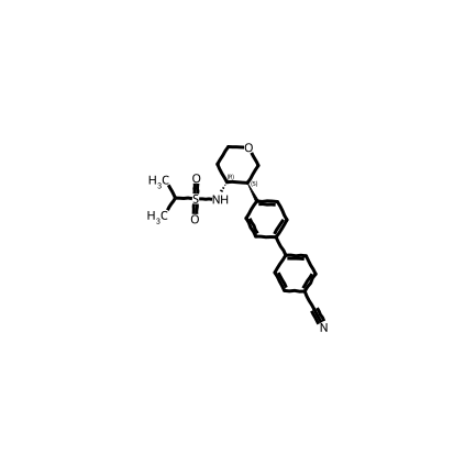 CC(C)S(=O)(=O)N[C@@H]1CCOC[C@H]1c1ccc(-c2ccc(C#N)cc2)cc1